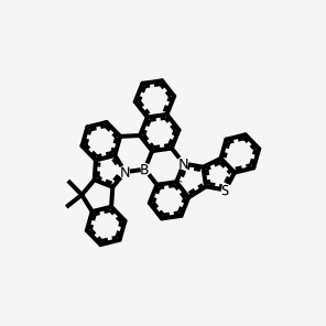 CC1(C)c2ccccc2-c2c1c1cccc3c1n2B1c2c(cc4ccccc4c2-3)-n2c3c1cccc3c1sc3ccccc3c12